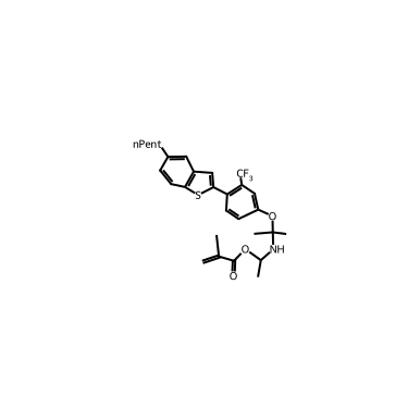 C=C(C)C(=O)OC(C)NC(C)(C)Oc1ccc(-c2cc3cc(CCCCC)ccc3s2)c(C(F)(F)F)c1